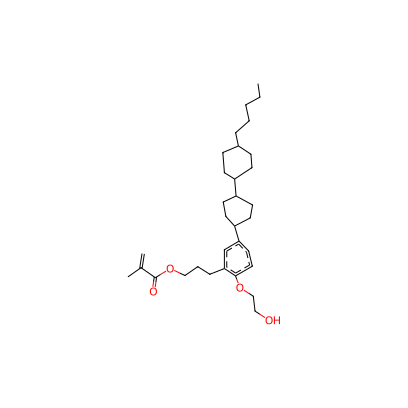 C=C(C)C(=O)OCCCc1cc(C2CCC(C3CCC(CCCCC)CC3)CC2)ccc1OCCO